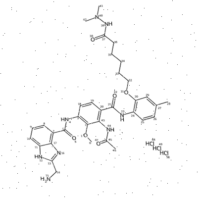 COc1c(NC(=O)c2cccc3[nH]c(CN)nc23)ccc(C(=O)Nc2ccc(C)cc2OCCCCCC(=O)NN(C)C)c1NC(C)=O.Cl.Cl.Cl